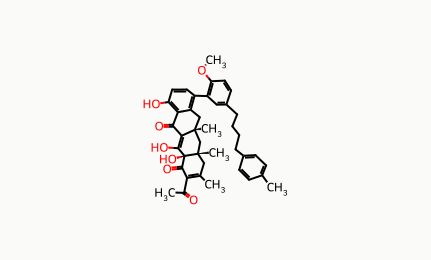 COc1ccc(CCCCc2ccc(C)cc2)cc1-c1ccc(O)c2c1C[C@]1(C)C[C@]3(C)CC(C)=C(C(C)=O)C(=O)[C@]3(O)C(O)=C1C2=O